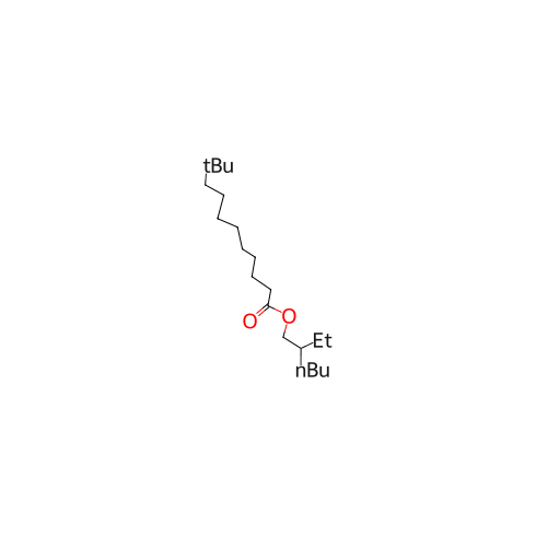 CCCCC(CC)COC(=O)CCCCCCCCC(C)(C)C